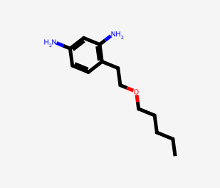 CCCCCOCCc1ccc(N)cc1N